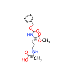 COC(=O)[C@H](CCCN[C@@H](C)C(=O)O)NC(=O)OCc1ccccc1